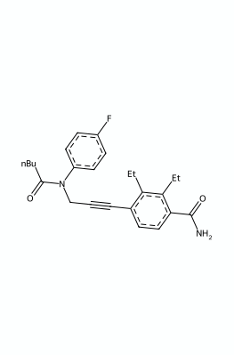 CCCCC(=O)N(CC#Cc1ccc(C(N)=O)c(CC)c1CC)c1ccc(F)cc1